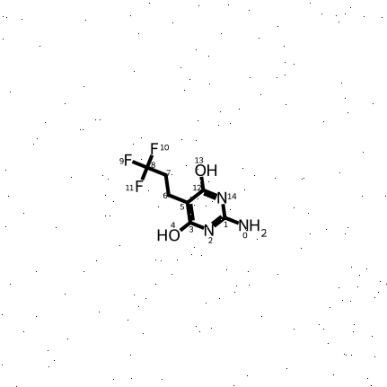 Nc1nc(O)c(CCC(F)(F)F)c(O)n1